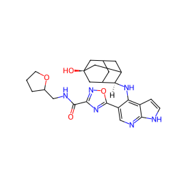 O=C(NCC1CCCO1)c1noc(-c2cnc3[nH]ccc3c2N[C@H]2C3CC4CC2C[C@@](O)(C4)C3)n1